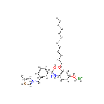 CCCCCCCCCCCCOc1cc(OC)ccc1NC(=O)c1cccc(C[n+]2csc(C)c2)c1.[Br-]